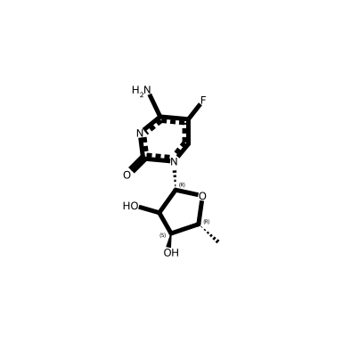 C[C@H]1O[C@@H](n2cc(F)c(N)nc2=O)C(O)[C@@H]1O